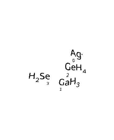 [Ag].[GaH3].[GeH4].[SeH2]